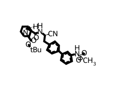 CC(C)(C)OC(=O)N1C2CCC(CC2)[C@H]1C(=O)N[C@H](C#N)Cc1ccc(-c2cccc(NS(C)(=O)=O)c2)cc1